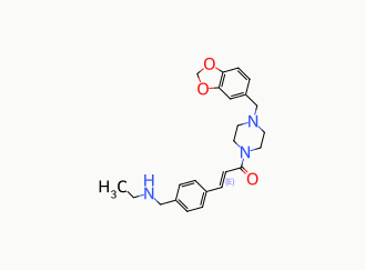 CCNCc1ccc(/C=C/C(=O)N2CCN(Cc3ccc4c(c3)OCO4)CC2)cc1